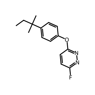 CCC(C)(C)c1ccc(Oc2ccc(F)nn2)cc1